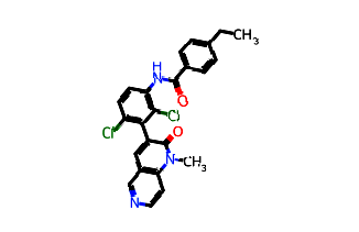 CCc1ccc(C(=O)Nc2ccc(Cl)c(-c3cc4cnccc4n(C)c3=O)c2Cl)cc1